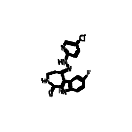 O=C1NCC/C(=N\Nc2ccc(Cl)cn2)c2c1[nH]c1ccc(F)cc21